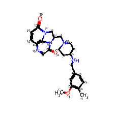 COc1cc(CNC2CCN(CC3Cn4c(=O)ccc5ncc(=O)n3c54)CC2)ccc1C